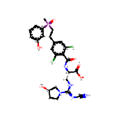 CP(=O)(CCc1cc(Cl)c(C(=O)N[C@@H](CN/C(=N\C#N)N2CC[C@@H](O)C2)C(=O)O)c(Cl)c1)c1cccc(O)c1